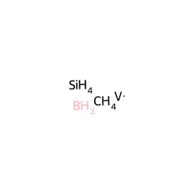 B.C.[SiH4].[V]